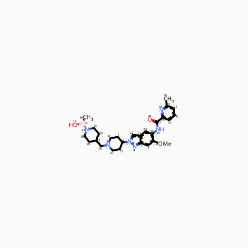 COc1cc2nn(C3CCN(CC4CCN(B(C)O)CC4)CC3)cc2cc1NC(=O)c1cccc(C)n1